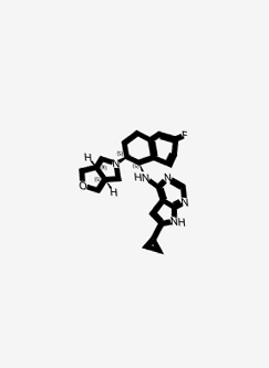 Fc1ccc2c(c1)CC[C@H](N1C[C@H]3COC[C@H]3C1)[C@H]2Nc1ncnc2[nH]c(C3CC3)cc12